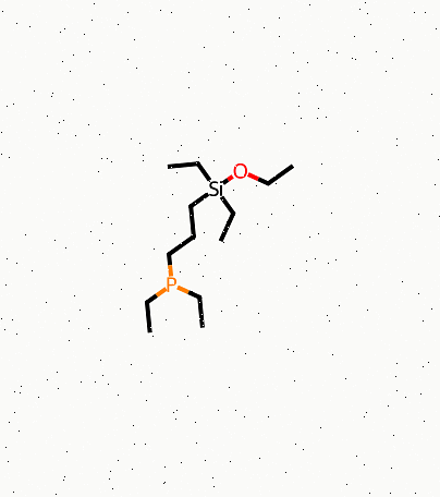 CCO[Si](CC)(CC)CCCP(CC)CC